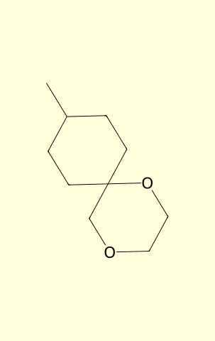 CC1CCC2(CC1)COCCO2